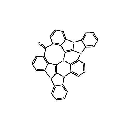 O=C1c2cccc3c2c2c4n(c5ccccc5n34)-c3cccc4c3B2c2c3c1cccc3n1c3ccccc3n-4c21